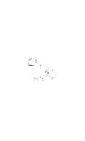 COC(=O)C1C(OC(=O)c2ccccc2)CC2CCC1N2C.[Pb]